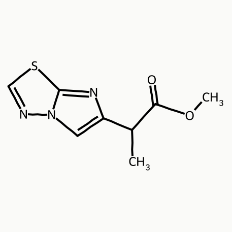 COC(=O)C(C)c1cn2ncsc2n1